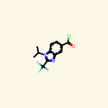 CC(C)n1c(C(F)(F)F)nc2cc(C(=O)Cl)ccc21